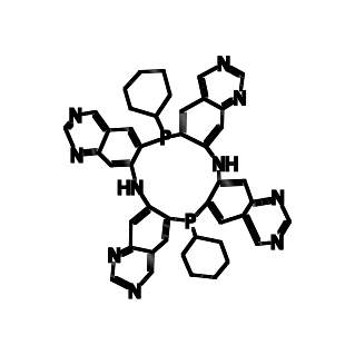 c1ncc2cc3c(cc2n1)Nc1cc2ncncc2cc1P(C1CCCCC1)c1cc2cncnc2cc1Nc1cc2ncncc2cc1P3C1CCCCC1